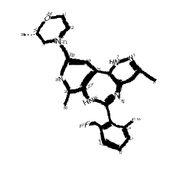 Cc1n[nH]c2c1N=C(c1c(F)cccc1F)Nc1c-2cc(N2CCO[C@@H](C)C2)nc1C